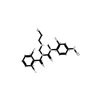 CN(C(=O)N(COCCCl)C(=O)c1c(F)cccc1F)c1ccc(SC(F)(F)F)cc1F